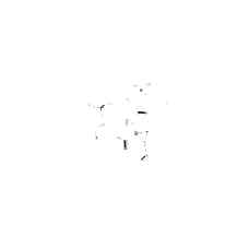 C=CC1CC1(NC(=O)OC(C)(C)C)C(=O)O.CCOC(=O)Cl